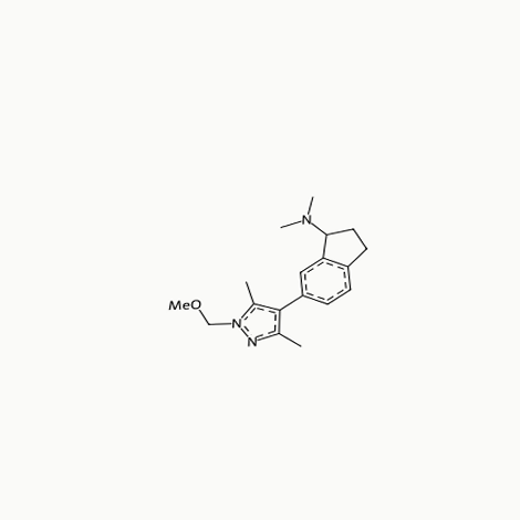 COCn1nc(C)c(-c2ccc3c(c2)C(N(C)C)CC3)c1C